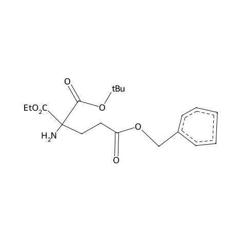 CCOC(=O)C(N)(CCC(=O)OCc1ccccc1)C(=O)OC(C)(C)C